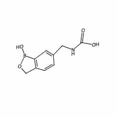 O=C(O)NCc1ccc2c(c1)B(O)OC2